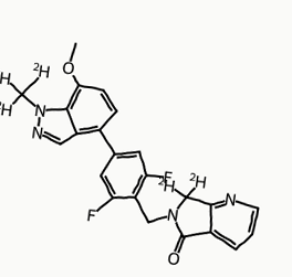 [2H]C1([2H])c2ncccc2C(=O)N1Cc1c(F)cc(-c2ccc(OC)c3c2cnn3C([2H])([2H])[2H])cc1F